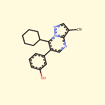 N#Cc1cnn2c(C3CCCCC3)c(-c3cccc(O)c3)cnc12